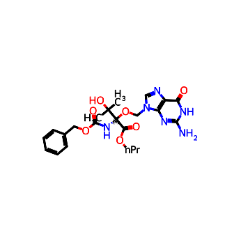 CCCOC(=O)[C@](NC(=O)OCc1ccccc1)(OCn1cnc2c(=O)[nH]c(N)nc21)C(C)(C)O